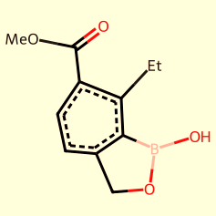 CCc1c(C(=O)OC)ccc2c1B(O)OC2